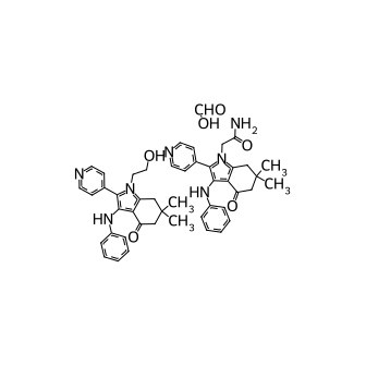 CC1(C)CC(=O)c2c(Nc3ccccc3)c(-c3ccncc3)n(CC(N)=O)c2C1.CC1(C)CC(=O)c2c(Nc3ccccc3)c(-c3ccncc3)n(CCO)c2C1.O=CO